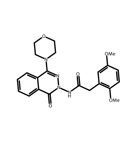 COc1ccc(OC)c(CC(=O)Nn2nc(N3CCOCC3)c3ccccc3c2=O)c1